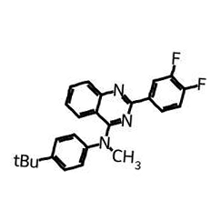 CN(c1ccc(C(C)(C)C)cc1)c1nc(-c2ccc(F)c(F)c2)nc2ccccc12